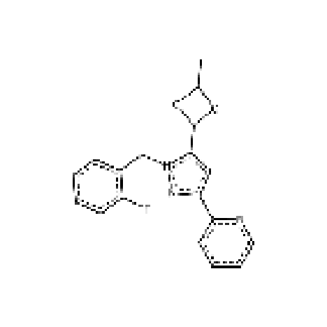 CC1OC(c2cc(-c3ccccn3)nn2Cc2ccccc2F)O1